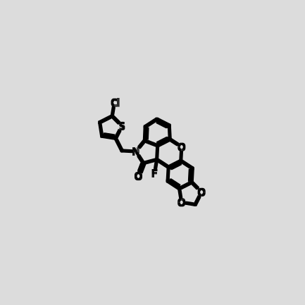 O=C1N(CC2=CCC(Cl)S2)c2cccc3c2C1(F)c1cc2c(cc1O3)OCO2